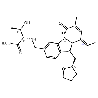 C/C=C(\C=C(\C)C(=O)C(C)C)C1Nc2cc(CN[C@H](C(=O)OCC(C)C)[C@@H](C)O)ccc2N1C[C@H]1CCCO1